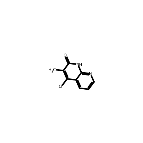 Cc1c(Cl)c2cccnc2[nH]c1=O